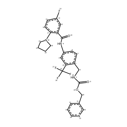 O=C(NCc1ccc(NC(=O)c2cc(F)ccc2N2CCCC2)cc1C(F)(F)F)OCc1cccnc1